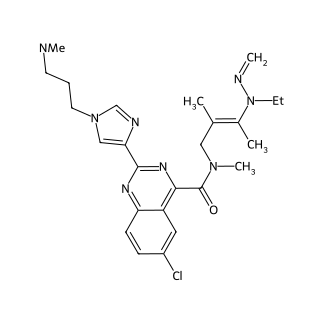 C=NN(CC)/C(C)=C(\C)CN(C)C(=O)c1nc(-c2cn(CCCNC)cn2)nc2ccc(Cl)cc12